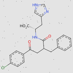 O=C(CC(Cc1ccccc1)C(=O)N[C@@H](Cc1c[nH]cn1)C(=O)O)c1ccc(Cl)cc1